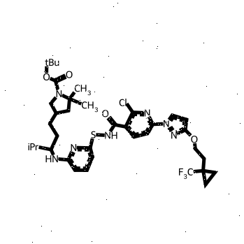 CC(C)C(CCC1CN(C(=O)OC(C)(C)C)C(C)(C)C1)Nc1cccc(SNC(=O)c2ccc(-n3ccc(OCCC4(C(F)(F)F)CC4)n3)nc2Cl)n1